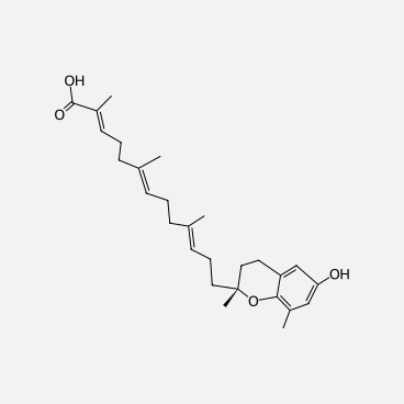 C/C(=C\CC/C(C)=C/CC[C@]1(C)CCc2cc(O)cc(C)c2O1)CC/C=C(\C)C(=O)O